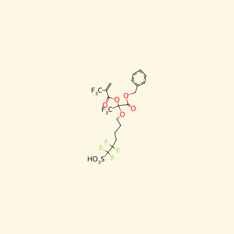 C=C(C(=O)OC(OCCCCC(F)(F)C(F)(F)S(=O)(=O)O)(C(=O)OCc1ccccc1)C(F)(F)F)C(F)(F)F